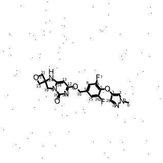 Cn1cc(Oc2c(F)cc(COc3cc4n(c(=O)n3)CC3(COC3)N4)cc2F)cn1